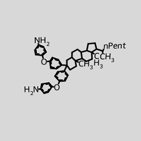 CCCCCC(C)C1CCC2C3CCC4CC(c5ccc(Oc6ccc(N)cc6)cc5)(c5ccc(Oc6ccc(N)cc6)cc5)CCC4(C)C3CCC12C